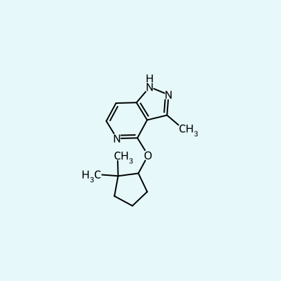 Cc1n[nH]c2ccnc(OC3CCCC3(C)C)c12